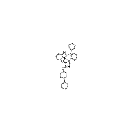 O=C(NOc1ccc(-c2ccccc2)cc1)C(F)(c1ccccc1)n1c(Cc2ccccc2)nc2ccccc21